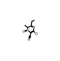 CCC1=NC(Cl)=C(C#N)[N+](=O)C1C